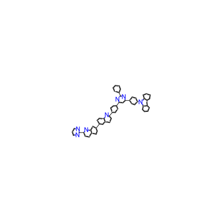 c1ccc(-c2nc(-c3ccc(-c4ccc5cc(-c6ccc7ccc(-c8ncccn8)nc7c6)ccc5n4)cc3)cc(-c3ccc(-n4c5ccccc5c5ccccc54)cc3)n2)cc1